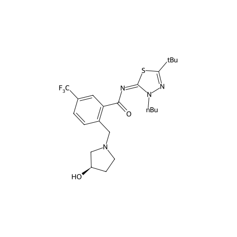 CCCCn1nc(C(C)(C)C)sc1=NC(=O)c1cc(C(F)(F)F)ccc1CN1CC[C@@H](O)C1